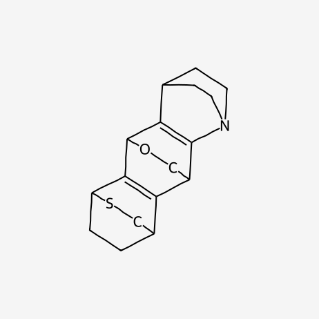 C1CC2SCC1C1=C2C2OCC1C1=C2C2CCN1CC2